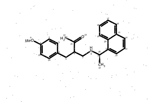 COc1ccc(CC(CN[C@H](C)c2cccc3ccccc23)C(N)=O)cc1